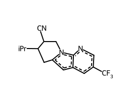 CC(C)C1Cc2cc3cc(C(F)(F)F)cnc3n2CC1C#N